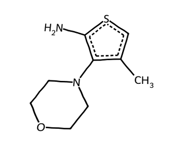 Cc1csc(N)c1N1CCOCC1